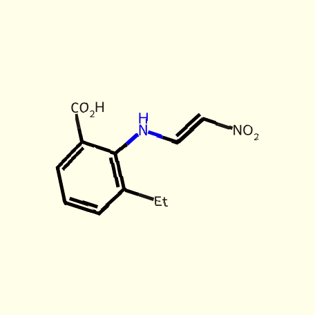 CCc1cccc(C(=O)O)c1NC=C[N+](=O)[O-]